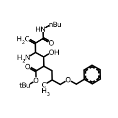 C=C(C(=O)NCCCC)C(N)C(O)C(CC(C)COCc1ccccc1)C(=O)OC(C)(C)C